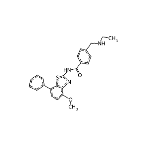 CCNCc1ccc(C(=O)Nc2nc3c(OC)ccc(-c4ccccc4)c3s2)cc1